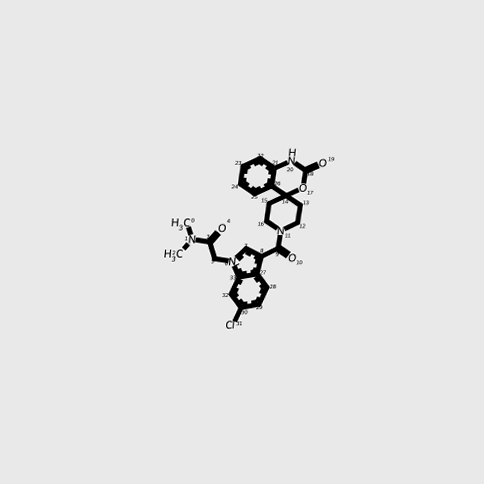 CN(C)C(=O)Cn1cc(C(=O)N2CCC3(CC2)OC(=O)Nc2ccccc23)c2ccc(Cl)cc21